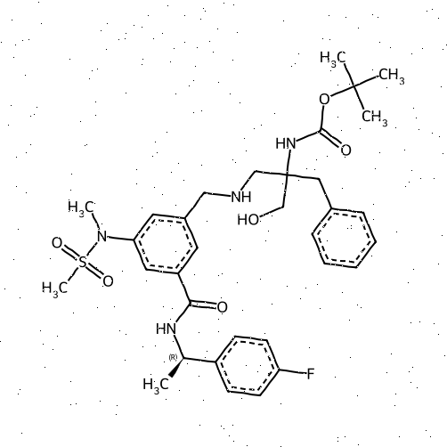 C[C@@H](NC(=O)c1cc(CNCC(CO)(Cc2ccccc2)NC(=O)OC(C)(C)C)cc(N(C)S(C)(=O)=O)c1)c1ccc(F)cc1